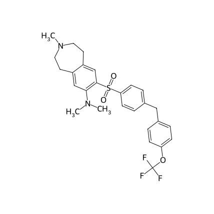 CN1CCc2cc(N(C)C)c(S(=O)(=O)c3ccc(Cc4ccc(OC(F)(F)F)cc4)cc3)cc2CC1